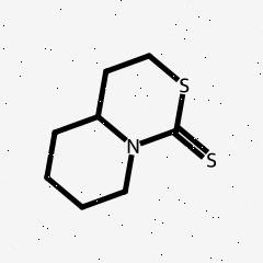 S=C1SCCC2CCCCN12